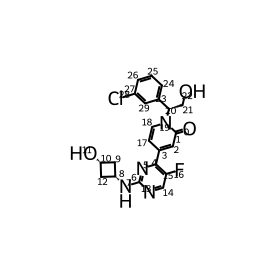 O=c1cc(-c2nc(N[C@H]3C[C@@H](O)C3)ncc2F)ccn1[C@H](CO)c1cccc(Cl)c1